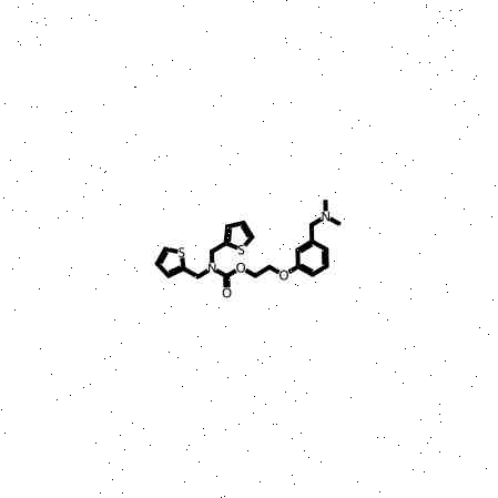 CN(C)Cc1cccc(OCCOC(=O)N(Cc2cccs2)Cc2cccs2)c1